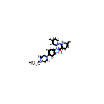 Cc1ccc(C(=O)Nc2ccc(N3CCN(C(=O)O)CC3)cc2)c(N2CCC(C)CC2)n1